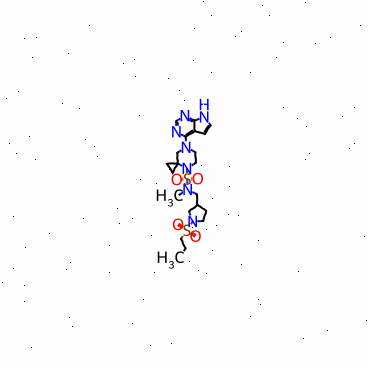 CCCS(=O)(=O)N1CCC(CN(C)S(=O)(=O)N2CCN(c3ncnc4[nH]ccc34)CC23CC3)C1